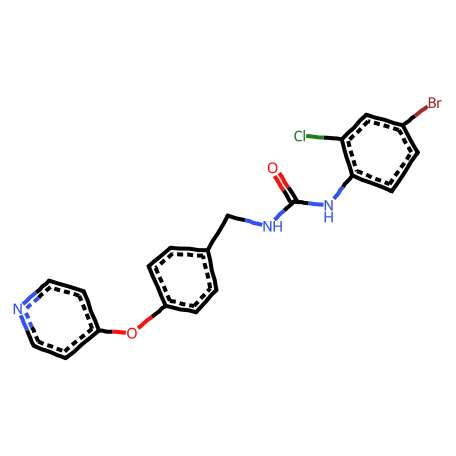 O=C(NCc1ccc(Oc2ccncc2)cc1)Nc1ccc(Br)cc1Cl